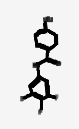 CC(C)(C)c1ccc(C(=O)Nc2cc(F)c(F)c(F)c2)cc1